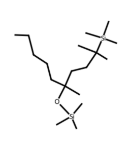 CCCCCC(C)(CCC(C)(C)[Si](C)(C)C)O[Si](C)(C)C